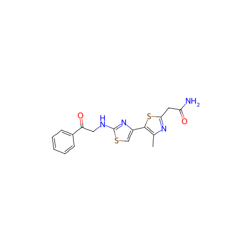 Cc1nc(CC(N)=O)sc1-c1csc(NCC(=O)c2ccccc2)n1